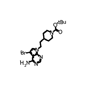 CC(C)(C)OC(=O)N1CCC(CCn2cc(Br)c3c(N)ncnc32)CC1